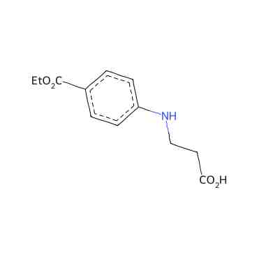 CCOC(=O)c1ccc(NCCC(=O)O)cc1